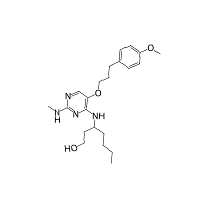 CCCCC(CCO)Nc1nc(NC)ncc1OCCCc1ccc(OC)cc1